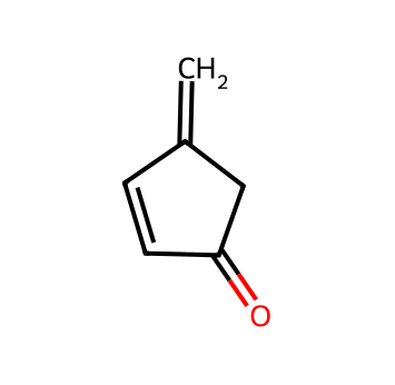 C=C1C=CC(=O)C1